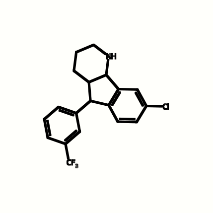 FC(F)(F)c1cccc(C2c3ccc(Cl)cc3C3NCCCC32)c1